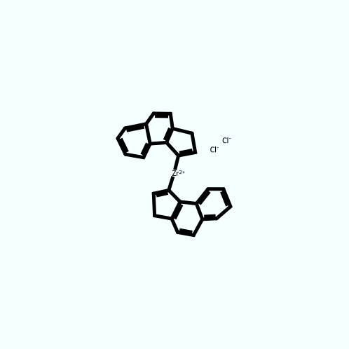 C1=[C]([Zr+2][C]2=CCc3ccc4ccccc4c32)c2c(ccc3ccccc23)C1.[Cl-].[Cl-]